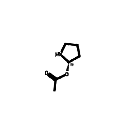 CC(=O)O[C@H]1CCCN1